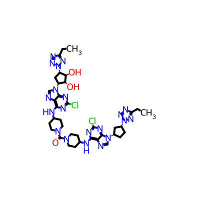 CCc1nnn([C@@H]2CC[C@H](n3cnc4c(NC5CCN(C(=O)N6CCC(Nc7nc(Cl)nc8c7ncn8[C@@H]7C[C@H](n8nnc(CC)n8)[C@@H](O)[C@H]7O)CC6)CC5)nc(Cl)nc43)C2)n1